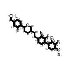 C=Cc1ccc(C2CCC(CCc3ccc(-c4ccc(OCC)c(F)c4F)c(F)c3F)CO2)c(F)c1